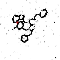 O=C(Cc1ccccn1)N[C@H](Cc1c[nH]c2ccccc12)c1nnc(Cc2ccccc2)n1Cc1ccc(Cl)c(Cl)c1